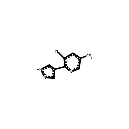 FC(F)(F)c1cnc(-c2cn[nH]c2)c(Cl)c1